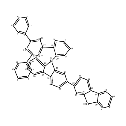 c1ccc(-c2nc(-c3ccccc3)nc(-c3ccccc3-n3c4ccccc4c4ccc(-c5ccc6c(c5)oc5ccccc56)cc43)n2)cc1